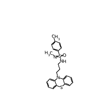 CN=S(=O)(NCCCN1c2ccccc2Sc2ccccc21)c1ccc(C)cc1